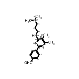 Cc1nc(-c2ccc(C=O)cc2)nc(NCCCN(C)C)c1C